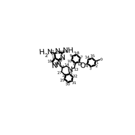 Cc1ccc(Oc2ccccc2CN2CC(n3ncc4c(N)nc(N)nc43)Cc3ccccc32)cc1